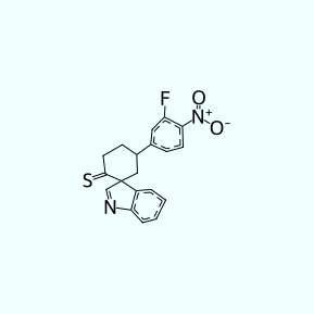 O=[N+]([O-])c1ccc(C2CCC(=S)C3(C=Nc4ccccc43)C2)cc1F